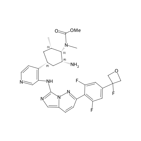 COC(=O)N(C)[C@@H]1[C@H](N)C[C@H](c2ccncc2Nc2ncc3ccc(-c4c(F)cc(C5(F)COC5)cc4F)nn23)C[C@@H]1C